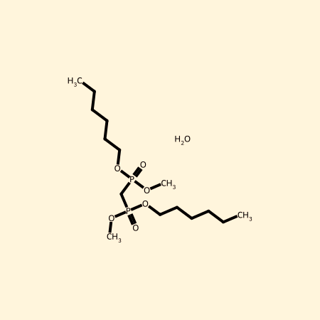 CCCCCCOP(=O)(CP(=O)(OC)OCCCCCC)OC.O